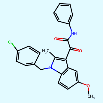 COc1ccc2c(c1)c(C(=O)C(=O)Nc1ccccc1)c(C)n2Cc1ccc(Cl)cc1